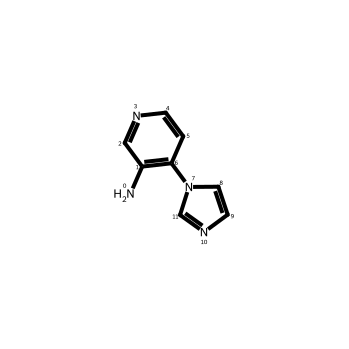 Nc1cnccc1-n1ccnc1